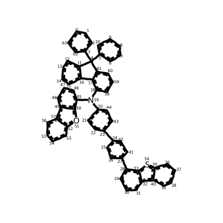 c1ccc(C2(c3ccccc3)c3ccccc3-c3c(N(c4ccc(-c5ccc(-c6cccc7c6sc6ccccc67)cc5)cc4)c4cccc5c4oc4ccccc45)cccc32)cc1